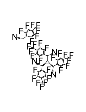 N#CC(=C1C(=C(C#N)c2c(F)c(F)c(C(F)(F)F)c(F)c2F)C1=C(C#N)c1c(F)c(F)c(C(F)(F)F)c(F)c1F)c1c(F)c(F)c(C(F)(F)F)c(F)c1F.N#CCc1c(F)c(F)c(C(F)(F)F)c(F)c1F